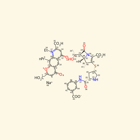 CCCc1c2oc(C(=O)O)cc(=O)c2cc2c(=O)cc(C(=O)O)n(CC)c12.C[C@@H](O)[C@H]1C(=O)N2C(C(=O)O)=C(S[C@@H]3CN[C@H](C(=O)Nc4cccc(C(=O)[O-])c4)C3)[C@H](C)[C@H]12.[Na+]